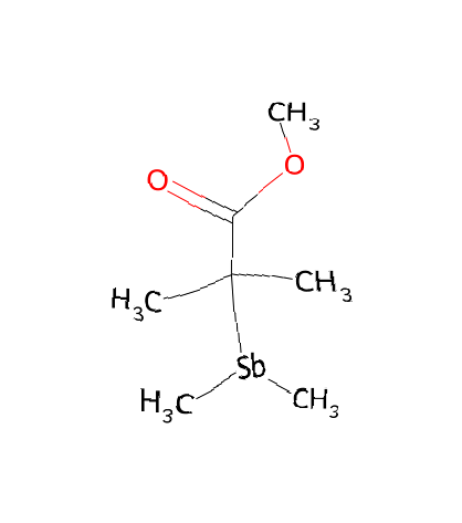 COC(=O)[C](C)(C)[Sb]([CH3])[CH3]